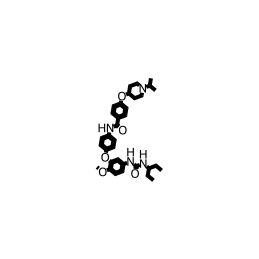 CCC(CC)NC(=O)Nc1ccc(OC)c(Oc2ccc(NC(=O)c3ccc(OC4CCN(C(C)C)CC4)cc3)cc2)c1